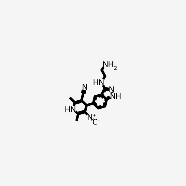 [C-]#[N+]C1=C(C)NC(C)=C(C#N)C1c1ccc2[nH]nc(NCCN)c2c1